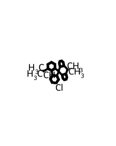 CC(C)(C)c1cccc2c1-c1ccc(Cl)cc1C21c2ccccc2C(C)(C)c2ccccc21